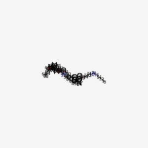 CCCCCCCC/C=C\CCCCCCCC(=O)OCC(CN(C)C)OC(=O)CCCCCCC(/C=C\CCCCCCCC)O[C@H]1CC[C@@]2(C)C(=CC[C@H]3[C@@H]4CC[C@H]([C@H](C)CCCC(C)C)[C@@]4(C)CC[C@@H]32)C1